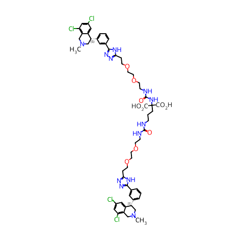 CN1Cc2c(Cl)cc(Cl)cc2[C@H](c2cccc(-c3nnc(CCOCCOCCNC(=O)NCCCC(NC(=O)NCCOCCOCCc4nnc(-c5cccc([C@@H]6CN(C)Cc7c(Cl)cc(Cl)cc76)c5)[nH]4)(C(=O)O)C(=O)O)[nH]3)c2)C1